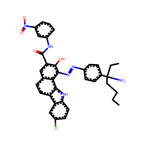 CCCCC(N)(CC)c1ccc(N=Nc2c(O)c(C(=O)Nc3cccc([N+](=O)[O-])c3)cc3ccc4c5cc(Cl)ccc5[nH]c4c23)cc1